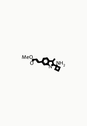 COC(=O)/C=C/c1ccc2c(c1)N=C(C1(N)CCC1)C2C